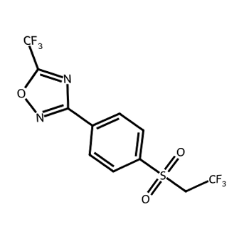 O=S(=O)(CC(F)(F)F)c1ccc(-c2noc(C(F)(F)F)n2)cc1